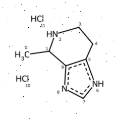 CC1NCCc2[nH]cnc21.Cl.Cl